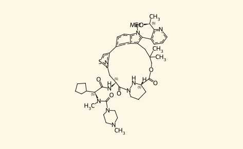 CCn1c(-c2cccnc2[C@H](C)OC)c2c3cc(ccc31)-c1csc(n1)C[C@H](NC(=O)[C@H](C1CCCC1)N(C)C(=O)N1CCN(C)CC1)C(=O)N1CCC[C@H](N1)C(=O)OCC(C)(C)C2